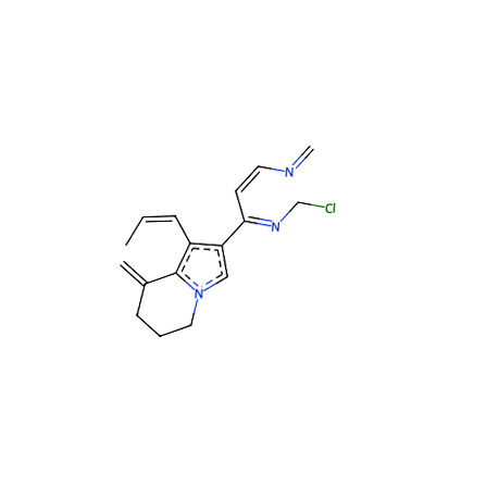 C=N/C=C\C(=N/CCl)c1cn2c(c1/C=C\C)C(=C)CCC2